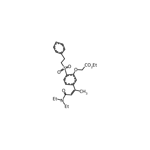 CCOC(=O)COc1cc(/C(C)=C\C(=O)N(CC)CC)ccc1S(=O)(=O)CCc1ccccc1